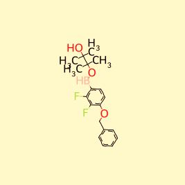 CC(C)(O)C(C)(C)OBc1ccc(OCc2ccccc2)c(F)c1F